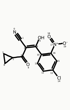 N#C/C(C(=O)C1CC1)=C(\O)c1ccc(Cl)cc1[N+](=O)[O-]